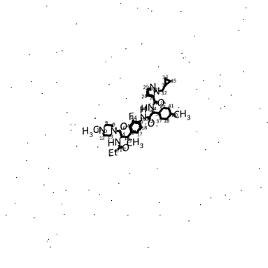 CCC(=O)N[C@@H](C(=O)N1CCN(C)CC1)[C@@H](C)c1ccc(NC(=O)[C@@H](NC(=O)c2ccnn2CC2CC2)C2CCC(C)CC2)c(F)c1